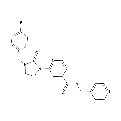 O=C(NCc1ccncc1)c1ccnc(N2CCN(Cc3ccc(F)cc3)C2=O)c1